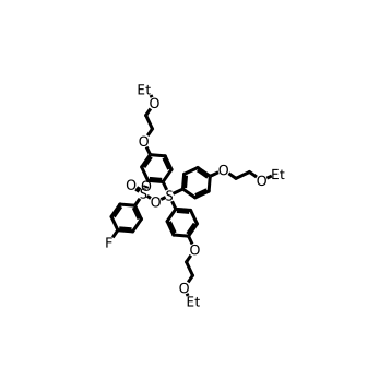 CCOCCOc1ccc(S(OS(=O)(=O)c2ccc(F)cc2)(c2ccc(OCCOCC)cc2)c2ccc(OCCOCC)cc2)cc1